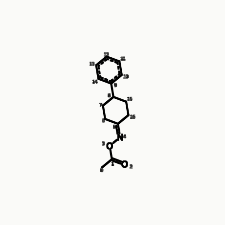 CC(=O)ON=C1CCC(c2ccccc2)CC1